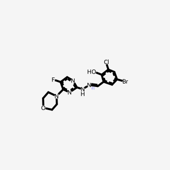 Oc1c(Cl)cc(Br)cc1/C=N/Nc1ncc(F)c(N2CCOCC2)n1